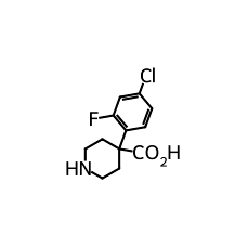 O=C(O)C1(c2ccc(Cl)cc2F)CCNCC1